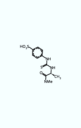 CNC(=O)[C@H](C)NC(=S)Nc1ccc(S(=O)(=O)O)cc1